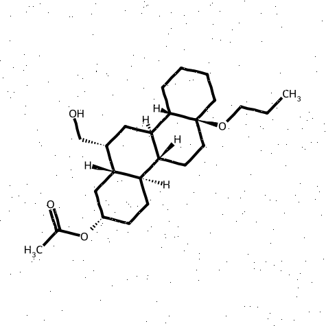 CCCO[C@]12CCCC[C@H]1[C@@H]1C[C@@H](CO)[C@H]3C[C@@H](OC(C)=O)CC[C@@H]3[C@H]1CC2